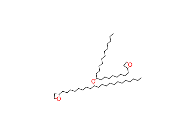 CCCCCCCCCCCCC(CCCCCCCCC1CCO1)OC(CCCCCCCCCCCC)CCCCCCCCC1CCO1